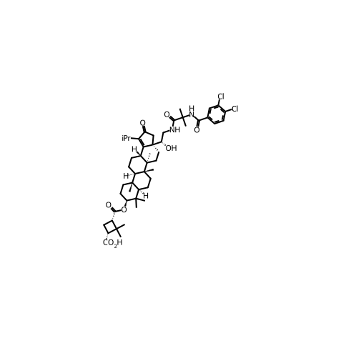 CC(C)C1=C2[C@H]3CC[C@@H]4[C@@]5(C)CC[C@H](OC(=O)[C@H]6C[C@@H](C(=O)O)C6(C)C)C(C)(C)[C@@H]5CC[C@@]4(C)[C@]3(C)CC[C@@]2([C@@H](O)CNC(=O)C(C)(C)NC(=O)c2ccc(Cl)c(Cl)c2)CC1=O